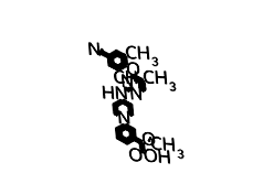 COC(C(=O)O)c1cccc(N2CCC(Nc3ncc(C)c(Oc4c(C)cc(C#N)cc4C)n3)CC2)c1